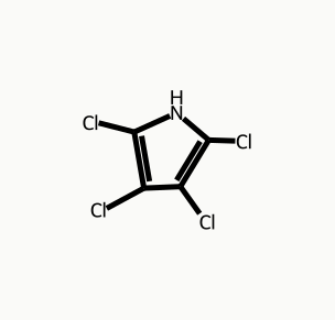 Clc1[nH]c(Cl)c(Cl)c1Cl